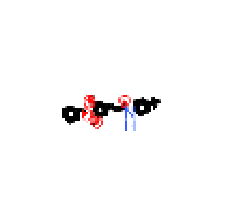 COc1cc(/C=C/C(=O)Nc2ccc(C(C)(C)C)cc2)cc(OC)c1OCc1ccccc1